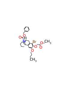 CCCCOc1cc2c(c(Br)c1OCC(=O)OCC)C[C@H]1C3CCCC[C@@]23CCN1C(=O)OCc1ccccc1